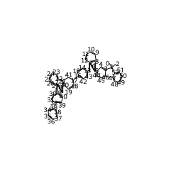 CC1(C)C2=CC(N(c3ccccc3)c3ccc(C4C=Cc5c(c6ccccc6n5-c5ccc(-c6ccccc6)cc5)C4)cc3)=CCC2c2ccccc21